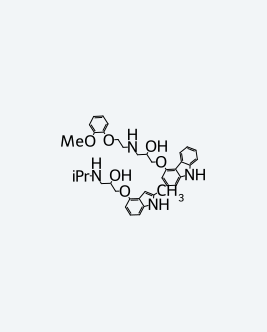 COc1ccccc1OCCNCC(O)COc1cccc2[nH]c3ccccc3c12.Cc1cc2c(OCC(O)CNC(C)C)cccc2[nH]1